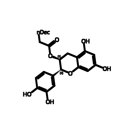 CCCCCCCCCCCC(=O)O[C@H]1Cc2c(O)cc(O)cc2O[C@@H]1c1ccc(O)c(O)c1